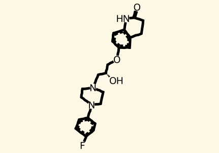 O=C1CCc2cc(OC[C@H](O)CN3CCN(c4ccc(F)cc4)CC3)ccc2N1